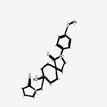 CC(C)Oc1ccc(N2CCC3(CCC(O)(CN4CCCC4=O)CC3)C2=O)cc1